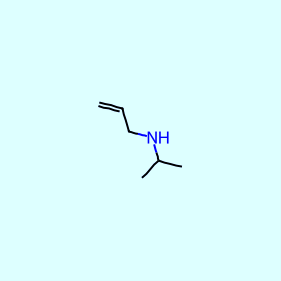 C=CCNC(C)C